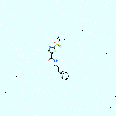 CCS(=O)(=O)c1ncc(C(=O)NCCCC2C3CCC2CC3)s1